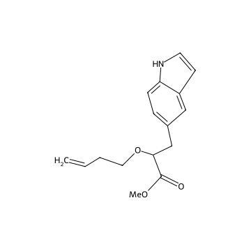 C=CCCOC(Cc1ccc2[nH]ccc2c1)C(=O)OC